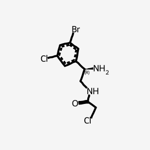 N[C@@H](CNC(=O)CCl)c1cc(Cl)cc(Br)c1